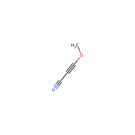 COC#CC#N